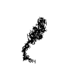 CC[C@H](C)[C@@H]([C@@H](CC(=O)N1CCC[C@H]1[C@H](OC)[C@@H](C)C(=O)N[C@@H](Cc1ccccc1)c1nc(C(=O)NCCc2ccc(OC(=O)N(C)CCSSCCN(C)C(=O)CCO)cc2)cs1)OC)N(C)C(=O)[C@@H](NC(=O)[C@H](C(C)C)N(C)C)C(C)C